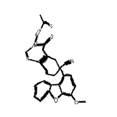 COc1ccc(C2(C#N)CCc3ncn(OC(C)=O)c(=O)c3C2)c2c1oc1ccccc12